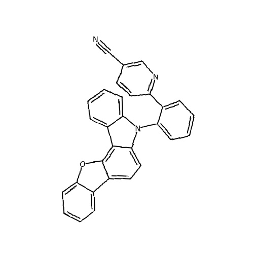 N#Cc1ccc(-c2ccccc2-n2c3ccccc3c3c4oc5ccccc5c4ccc32)nc1